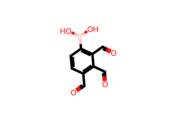 O=Cc1ccc(B(O)O)c(C=O)c1C=O